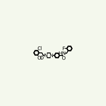 O=C(NCc1ccccc1F)c1ccc(N2CCN(C(=O)Cc3c(Cl)cccc3Cl)CC2)cc1